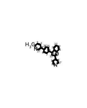 Cc1ccc(-c2ccc(C(CC(=O)c3ccncc3)c3ccccc3)cc2)cn1